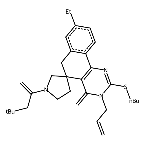 C=CCN1C(=C)C2=C(N=C1SCCCC)c1ccc(CC)cc1CC21CCN(C(=C)CC(C)(C)C)C1